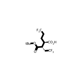 CC(C)(C)OC(=O)[C@@H](CC(F)(F)F)[C@@H](CCC(F)(F)F)C(=O)O